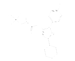 Cc1ccc(-n2nc(C3CCCCC3)cc2OC(=O)NCC(Cl)(Cl)Cl)cc1